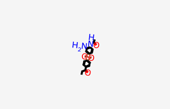 CCC(=O)c1ccc(S(=O)(=O)c2ccc(NC(C)=O)c(N)c2)cc1